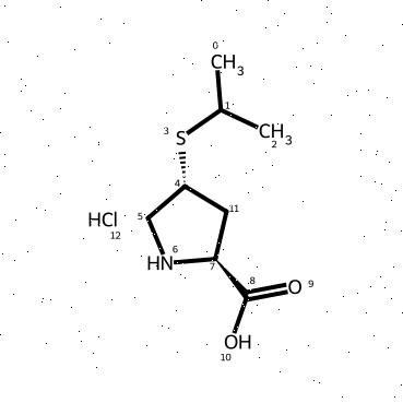 CC(C)S[C@H]1CN[C@H](C(=O)O)C1.Cl